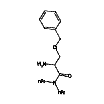 CCCN(CCC)C(=O)C(N)COCc1ccccc1